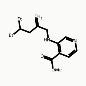 C=C(CNc1cnccc1C(=O)OC)CC(CC)CC